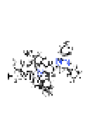 CC1(C)c2ccccc2-c2ccc3c(c21)c1ccccc1n3-c1c(-c2ccc(C#N)cc2)cc(-c2cc(-c3ccccc3)nc(-c3ccccc3)n2)cc1-c1ccc(C#N)cc1